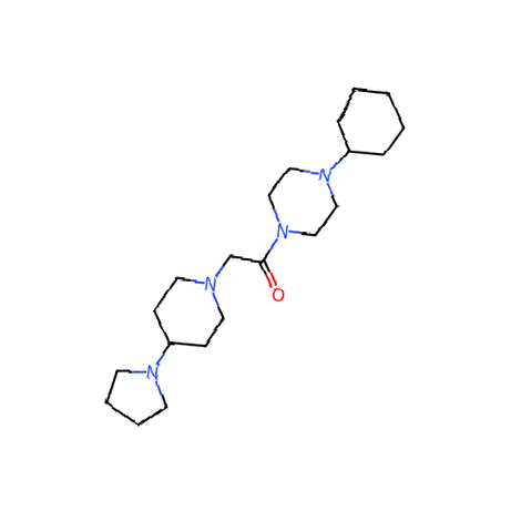 O=C(CN1CCC(N2CCCC2)CC1)N1CCN(C2CCCCC2)CC1